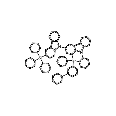 c1ccc(-c2cccc([Si]3(c4ccccc4)c4ccccc4-n4c5ccccc5c5cc(-n6c7ccccc7c7cc([Si](c8ccccc8)(c8ccccc8)c8ccccc8)ccc76)cc3c54)c2)cc1